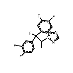 CC(n1ncnn1)C(F)(c1ccc(F)c(F)c1)c1ccc(F)c(F)c1